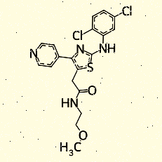 COCCNC(=O)Cc1sc(Nc2cc(Cl)ccc2Cl)nc1-c1ccncc1